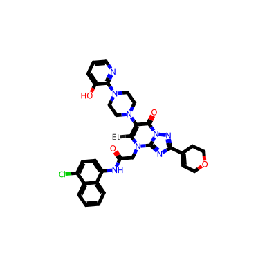 CCc1c(N2CCN(c3ncccc3O)CC2)c(=O)n2nc(C3=CCOCC3)nc2n1CC(=O)Nc1ccc(Cl)c2ccccc12